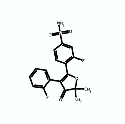 CC1(C)OC(c2ccc(S(N)(=O)=O)cc2F)=C(c2ccccc2F)C1=O